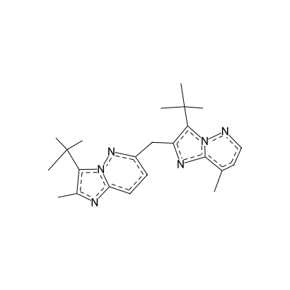 Cc1nc2ccc(Cc3nc4c(C)ccnn4c3C(C)(C)C)nn2c1C(C)(C)C